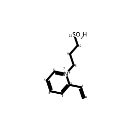 C=Cc1cccc[n+]1CCCS(=O)(=O)O